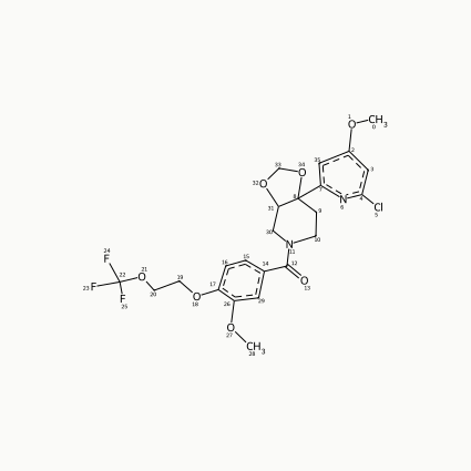 COc1cc(Cl)nc(C23CCN(C(=O)c4ccc(OCCOC(F)(F)F)c(OC)c4)CC2OCO3)c1